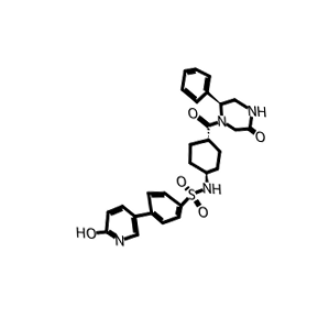 O=C1CN(C(=O)[C@H]2CC[C@H](NS(=O)(=O)c3ccc(-c4ccc(O)nc4)cc3)CC2)[C@@H](c2ccccc2)CN1